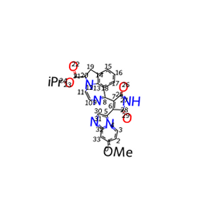 COc1ccn2c(C3=C(C4=NC=CN5c6c(cccc64)CC5C(=O)OC(C)C)C(=O)NC3=O)cnc2c1